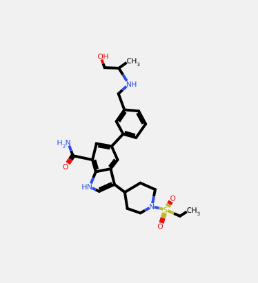 CCS(=O)(=O)N1CCC(c2c[nH]c3c(C(N)=O)cc(-c4cccc(CNC(C)CO)c4)cc23)CC1